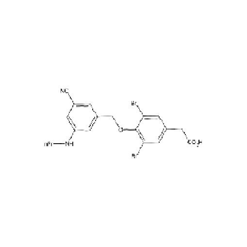 CCCNc1cc(C#N)cc(COc2c(Br)cc(CC(=O)O)cc2Br)c1